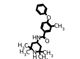 Cc1cc(C(=O)NC2CC(C)(C)NC(C)(C)C2)ccc1Oc1ccccc1